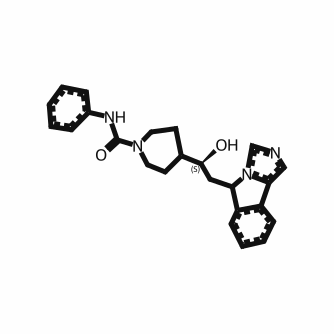 O=C(Nc1ccccc1)N1CCC([C@@H](O)CC2c3ccccc3-c3cncn32)CC1